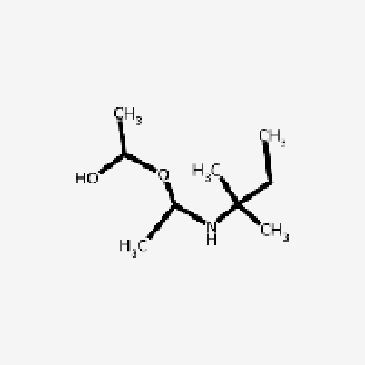 CCC(C)(C)NC(C)OC(C)O